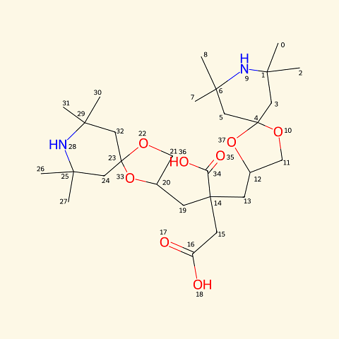 CC1(C)CC2(CC(C)(C)N1)OCC(CC(CC(=O)O)(CC1COC3(CC(C)(C)NC(C)(C)C3)O1)C(=O)O)O2